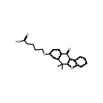 CC1(C)c2cc(OCCCCC(=O)O)ccc2C(=O)c2c1oc1ccccc21